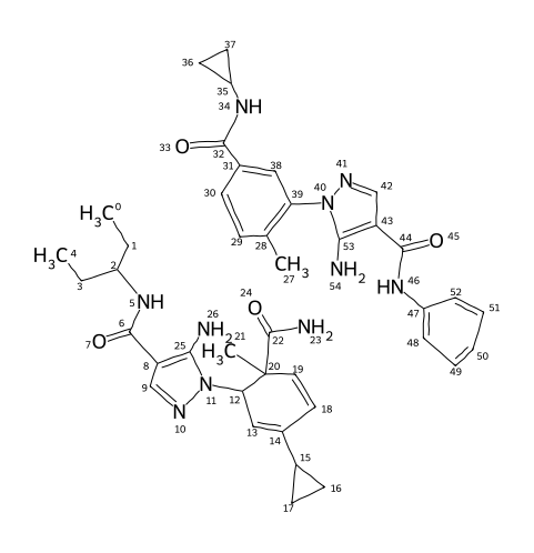 CCC(CC)NC(=O)c1cnn(C2C=C(C3CC3)C=CC2(C)C(N)=O)c1N.Cc1ccc(C(=O)NC2CC2)cc1-n1ncc(C(=O)Nc2ccccc2)c1N